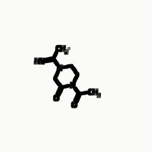 [CH2]C(=N)N1CCN(C(C)=O)C(=O)C1